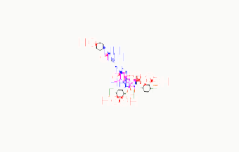 O=C(NCCCN1CCN(C(=O)N[C@H](C(=O)N[C@H]2Cc3ccc(F)c(C(=O)O)c3OB2O)c2cc(F)c(O)c(O)c2Cl)C1=O)Nc1ccc(O)cc1